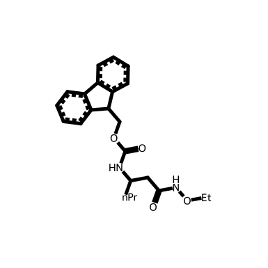 CCCC(CC(=O)NOCC)NC(=O)OCC1c2ccccc2-c2ccccc21